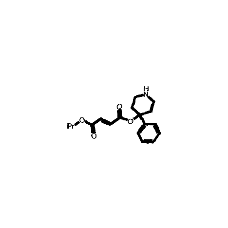 CC(C)OC(=O)/C=C/C(=O)OC1(c2ccccc2)CCNCC1